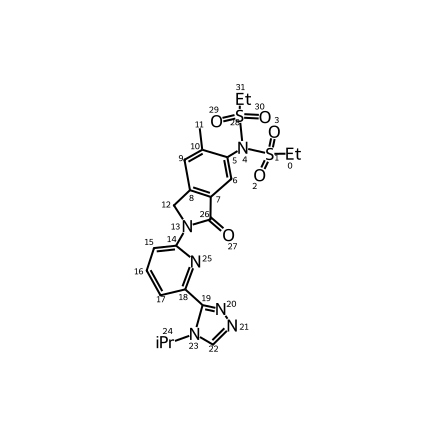 CCS(=O)(=O)N(c1cc2c(cc1C)CN(c1cccc(-c3nncn3C(C)C)n1)C2=O)S(=O)(=O)CC